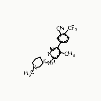 Cc1cc(N[C@@H]2CCCN(C)C2)nnc1-c1ccc(C(F)(F)F)c(C#N)c1